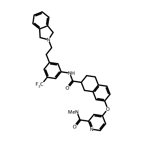 CNC(=O)c1cc(Oc2ccc3c(c2)CC(C(=O)Nc2cc(CCN4Cc5ccccc5C4)cc(C(F)(F)F)c2)CC3)ccn1